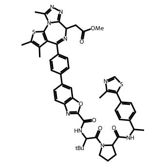 COC(=O)CC1N=C(c2ccc(-c3ccc4nc(C(=O)NC(C(=O)N5CCCC5C(=O)NC(C)c5ccc(-c6scnc6C)cc5)C(C)(C)C)oc4c3)cc2)c2c(sc(C)c2C)-n2c(C)nnc21